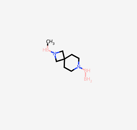 BBN1CCC2(CC1)CN(BC)C2